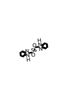 O=C(SSC(=O)c1nc2ccccc2[nH]1)c1nc2ccccc2[nH]1